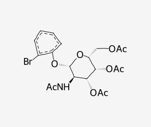 CC(=O)N[C@H]1[C@H](Oc2ccccc2Br)O[C@H](COC(C)=O)[C@H](OC(C)=O)[C@@H]1OC(C)=O